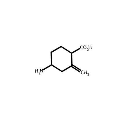 C=C1CC(N)CCC1C(=O)O